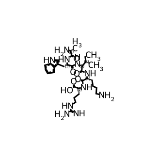 CC[C@H](C)[C@H](NC(=O)[C@H](Cc1c[nH]c2ccccc12)NC(=O)[C@H](C)N)C(=O)N[C@@H](CCCCN)C(=O)N[C@@H](CCCNC(=N)N)C(=O)O